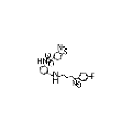 O=S(=O)(Nc1cccc(CNCCCCc2noc3cc(F)ccc23)c1)c1ccc2scnc2c1